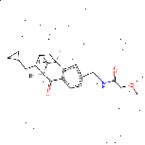 COCC(=O)NCc1ccc2c(c1)[C@]1(C)CCC(CC3CC3)[C@H](C2=O)[C@@H]1C